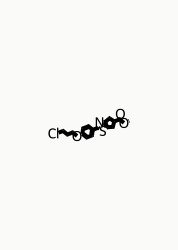 COC(=O)C1Cc2nc(-c3ccc(OCCCCl)cc3)sc2C1